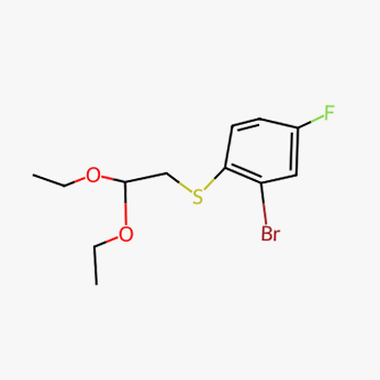 CCOC(CSc1ccc(F)cc1Br)OCC